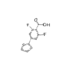 O=C(O)c1c(F)cc(-c2cccs2)cc1F